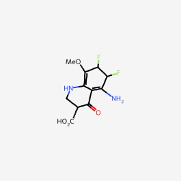 COC1=C2NCC(C(=O)O)C(=O)C2=C(N)C(F)C1F